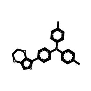 Cc1ccc(N(c2ccc(C)cc2)c2ccc(-c3scc4c3OCCO4)cc2)cc1